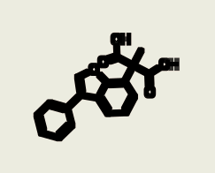 CC(C(=O)O)(C(=O)O)c1cccc2c(-c3ccccc3)coc12